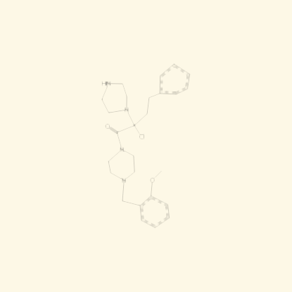 COc1ccccc1CN1CCN(C(=O)C(Cl)(CCc2ccccc2)N2CCNCC2)CC1